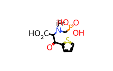 CC(C)N(CP(=O)(O)O)C(C(=O)O)C(=O)c1cccs1